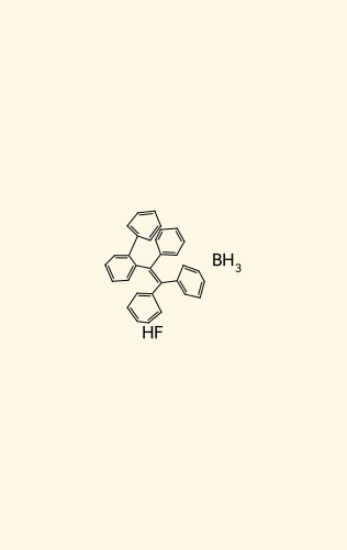 B.F.c1ccc(C(=C(c2ccccc2)c2ccccc2-c2ccccc2)c2ccccc2)cc1